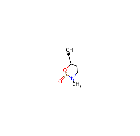 C#CC1CCN(C)S(=O)O1